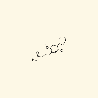 COc1cc(C2CCCCC2)c(Cl)cc1CCCC(=O)O